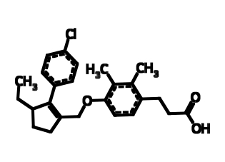 CCC1CCC(COc2ccc(CCC(=O)O)c(C)c2C)=C1c1ccc(Cl)cc1